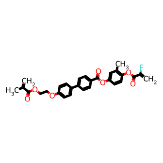 C=C(C)C(=O)OCCOc1ccc(-c2ccc(C(=O)Oc3ccc(OC(=O)C(=C)F)c(C)c3)cc2)cc1